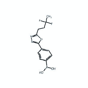 CC(F)(F)CCc1nnc(-c2ccc(B(O)O)cc2)o1